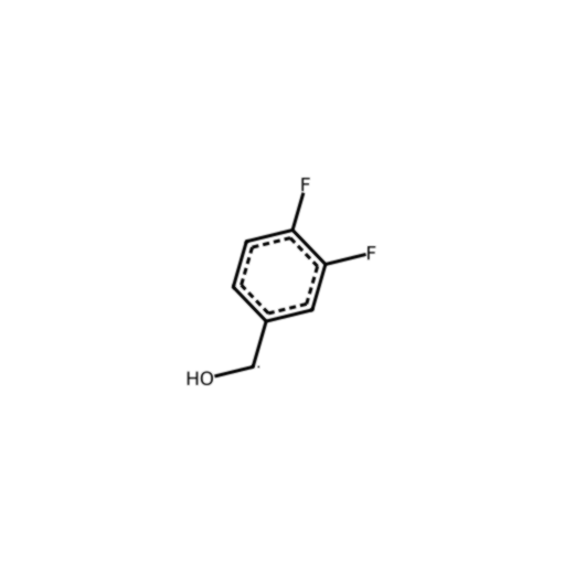 O[CH]c1ccc(F)c(F)c1